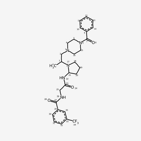 CC(CN1CCN(C(=O)c2ccccc2)CC1)N1CCCC1NC(=O)CNC(=O)c1cccc(C(F)(F)F)c1